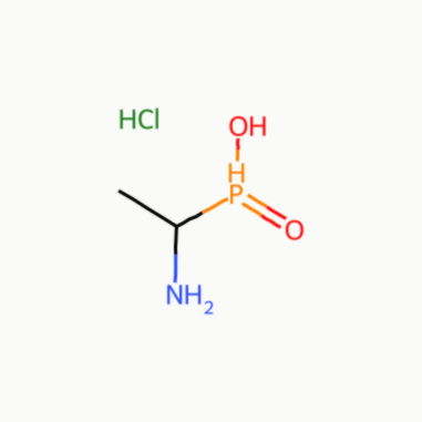 CC(N)[PH](=O)O.Cl